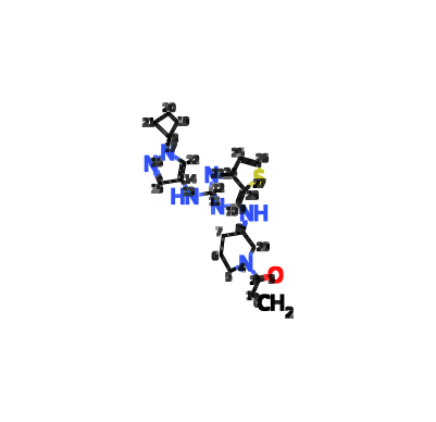 C=CC(=O)N1CCC[C@@H](Nc2nc(Nc3cnn(C4CCC4)c3)nc3ccsc23)C1